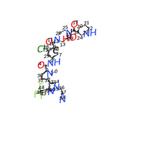 Cn1c(C(=O)Nc2ccc(C(=O)N3CCN(C(=O)C4(O)CCCNC4)CC3)c(Cl)c2)ccc1-c1cn(CC#N)nc1C(F)(F)F